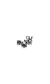 N=C(Nc1ccc(F)c(Cl)c1)c1nonc1Cn1cnnn1